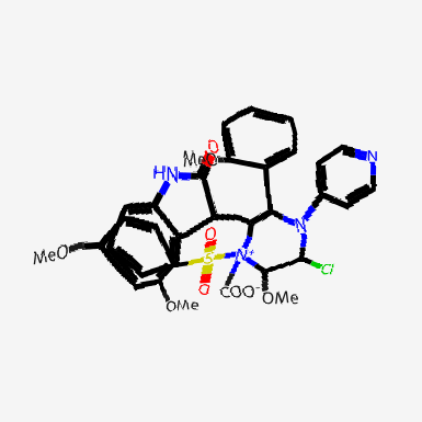 COc1ccc(S(=O)(=O)[N+]2(C(=O)[O-])C(OC)C(Cl)N(c3ccncc3)C(c3ccccc3OC)C2C2C(=O)Nc3ccccc32)c(OC)c1